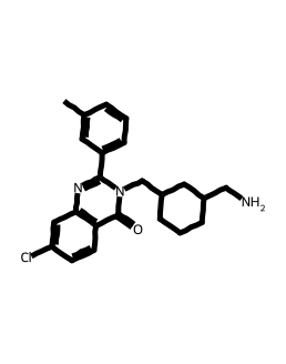 Cc1cccc(-c2nc3cc(Cl)ccc3c(=O)n2CC2CCCC(CN)C2)c1